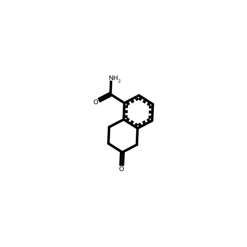 NC(=O)c1cccc2c1CCC(=O)C2